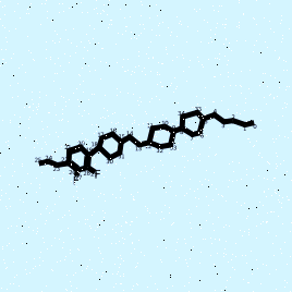 CCCCCC1CCC(C2CCC(CCC3CCC(c4ccc(CCC)c(F)c4F)CC3)CC2)CC1